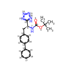 CC(C)(C)OC(=O)N[C@@H](Cc1ccc(-c2ccccc2)cc1)c1nnn[nH]1